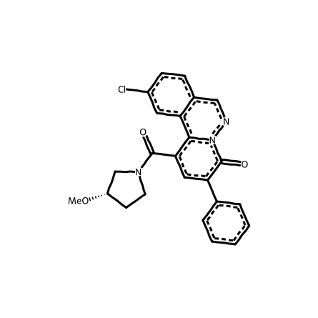 CO[C@H]1CCN(C(=O)c2cc(-c3ccccc3)c(=O)n3ncc4ccc(Cl)cc4c23)C1